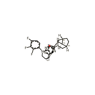 Fc1ccc(N2CCCn3nc(N[C@@H]4[C@@H]5CC[C@H]4CN(c4cnnc(Cl)c4)C5)nc32)c(F)c1F